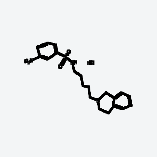 Cl.O=[N+]([O-])c1cccc(S(=O)(=O)NCCCCCN2CCc3ccccc3C2)c1